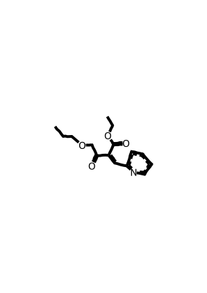 CCCOCC(=O)C(=Cc1ccccn1)C(=O)OCC